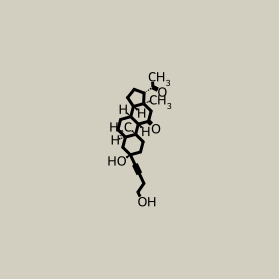 CC(=O)[C@H]1CC[C@H]2[C@@H]3CC[C@@H]4C[C@@](O)(C#CCCO)CC[C@]4(C)[C@H]3C(=O)C[C@]12C